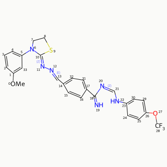 COc1cccc(N2CCS/C2=N\N=C\c2ccc(C(=N)/N=C\Nc3ccc(OC(F)(F)F)cc3)cc2)c1